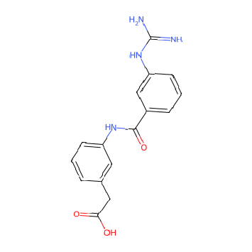 N=C(N)Nc1cccc(C(=O)Nc2cccc(CC(=O)O)c2)c1